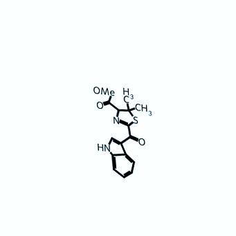 COC(=O)C1N=C(C(=O)c2c[nH]c3ccccc23)SC1(C)C